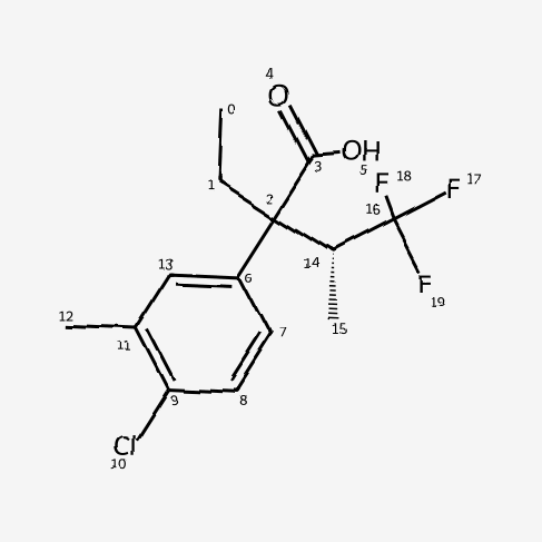 CCC(C(=O)O)(c1ccc(Cl)c(C)c1)[C@@H](C)C(F)(F)F